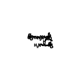 CCO[Si](CCCN)(OCC)OCC.CO[Si](C)(CCCNCCN)OC.CO[Si](CCCNCCN)(OC)OC